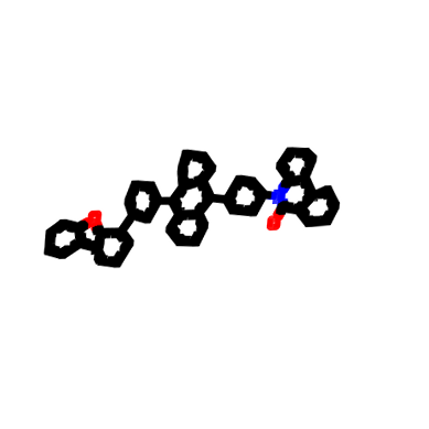 O=c1c2ccccc2c2ccccc2n1-c1ccc(-c2c3ccccc3c(-c3cccc(-c4cccc5c4oc4ccccc45)c3)c3ccccc23)cc1